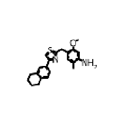 COc1cc(N)c(C)cc1Cc1nc(-c2ccc3c(c2)CCCC3)cs1